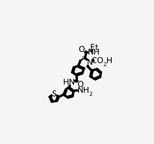 CCNC(=O)[C@H](Cc1ccc(C(=O)Nc2cc(-c3cccs3)ccc2N)cc1)N(Cc1ccccc1)C(=O)O